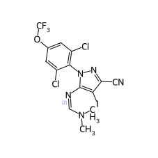 CN(C)/C=N\c1c(I)c(C#N)nn1-c1c(Cl)cc(OC(F)(F)F)cc1Cl